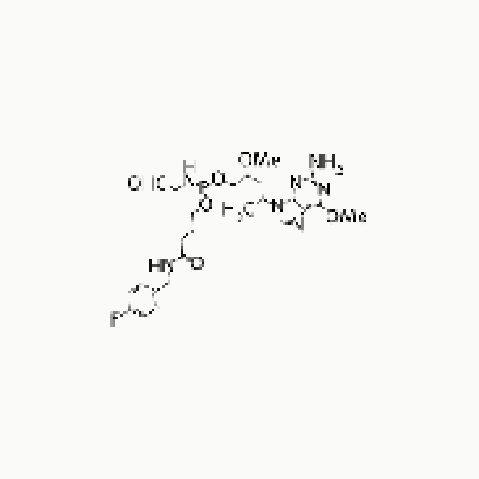 COc1nc(N)nc2c1ncn2C(C)CC(COP(NCC=O)OCCCC(=O)NCc1ccc(F)cc1)OC